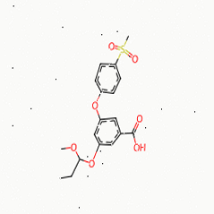 CCC(OC)Oc1cc(Oc2ccc(S(C)(=O)=O)cc2)cc(C(=O)O)c1